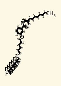 CCCCCCCCc1cnc(-c2cccc(OCCCCCCOCC(F)(F)C(F)(F)C(F)(F)C(F)(F)C(F)(F)F)c2)nc1